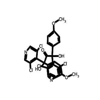 COc1ccc(C(O)(C(=O)C(O)(c2ccc(OC)cc2)c2c(Cl)cncc2Cl)c2c(Cl)cncc2Cl)cc1